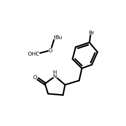 CC(C)(C)OC=O.O=C1CCC(Cc2ccc(Br)cc2)N1